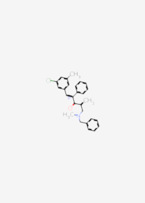 C=C(CN(C)Cc1ccccc1)C(=O)/C(=C/c1cc(C)cc(Cl)c1)c1ccccc1